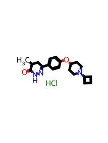 CC1CC(c2ccc(OC3CCN(C4CCC4)CC3)cc2)=NNC1=O.Cl